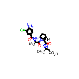 CC(C)(C)[C@H](NC(=O)c1ccc(N)c(Cl)c1)C(=O)N1C2CC[C@@H](C2)C1C(=O)N[C@H](C=O)CC(=O)O